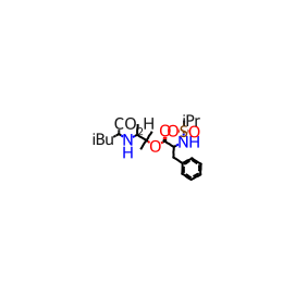 CCC(C)C(NC(C)C(C)(C)OC(=O)C(Cc1ccccc1)NS(=O)(=O)C(C)C)C(=O)O